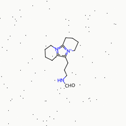 O=CNCCCc1c2n(c3[n+]1CCCC3)CCCC2